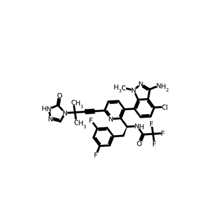 Cn1nc(N)c2c(Cl)ccc(-c3ccc(C#CC(C)(C)n4cn[nH]c4=O)nc3[C@H](Cc3cc(F)cc(F)c3)NC(=O)C(F)(F)F)c21